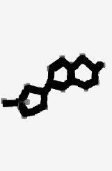 CC1CCc2cc(C3CCN(C)C3)ccc2C1